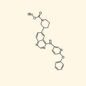 CC(C)(C)OC(=O)N1CCCC(c2ccc3ncnc(Nc4ccc(Oc5ccccc5)nc4)c3c2)C1